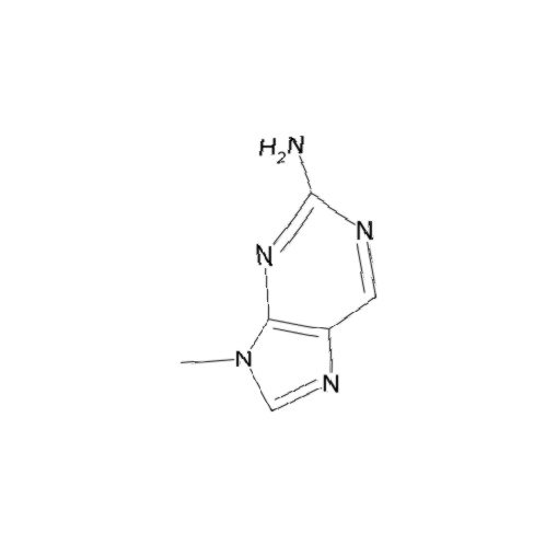 Cn1cnc2cnc(N)nc21